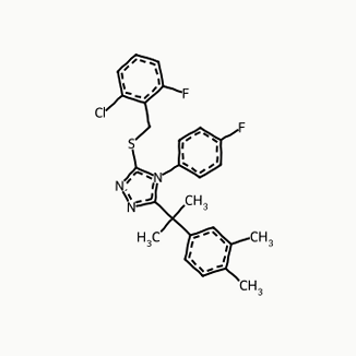 Cc1ccc(C(C)(C)c2nnc(SCc3c(F)cccc3Cl)n2-c2ccc(F)cc2)cc1C